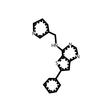 c1ccc(-c2cc3ncnc(NCc4cccnc4)c3s2)cc1